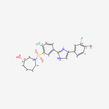 O=S(=O)(c1cc(-c2nc(-c3ccc(Br)c(F)c3)c[nH]2)ccc1Cl)N1CCCC[C@H](O)C1